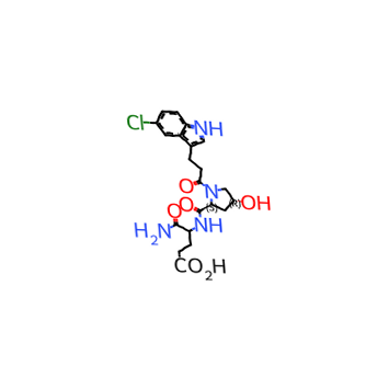 NC(=O)C(CCC(=O)O)NC(=O)[C@@H]1C[C@@H](O)CN1C(=O)CCc1c[nH]c2ccc(Cl)cc12